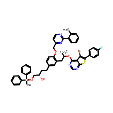 COc1ccccc1-c1nccc(COc2ccc(CC[C@H](O)CO[Si](c3ccccc3)(c3ccccc3)C(C)(C)C)cc2CC(Oc2ncnc3sc(-c4ccc(F)cc4)c(Br)c23)C(=O)O)n1